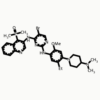 CCc1cc(Nc2ncc(Br)c(Nc3cnc4ccccc4c3P(C)(C)=O)n2)c(OC)cc1N1CCC(N(C)C)CC1